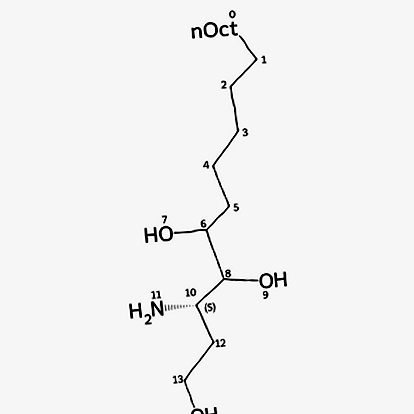 CCCCCCCCCCCCCC(O)C(O)[C@@H](N)CCO